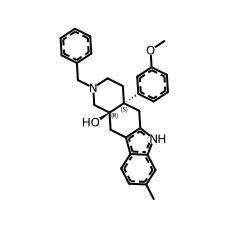 COc1cccc([C@@]23CCN(Cc4ccccc4)C[C@@]2(O)Cc2c([nH]c4cc(C)ccc24)C3)c1